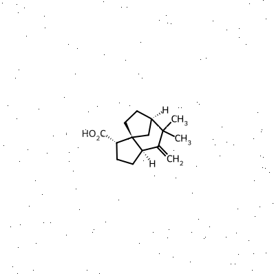 C=C1[C@H]2CC[C@H](C(=O)O)[C@@]23CC[C@H](C3)C1(C)C